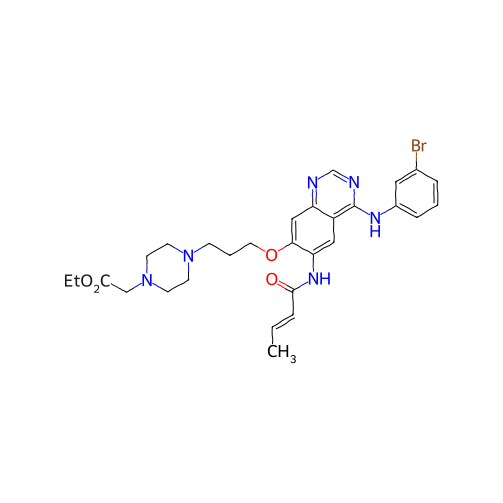 CC=CC(=O)Nc1cc2c(Nc3cccc(Br)c3)ncnc2cc1OCCCN1CCN(CC(=O)OCC)CC1